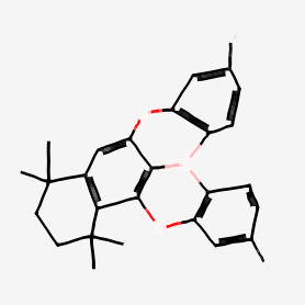 CCCCc1ccc2c(c1)Oc1cc3c(c4c1B2c1ccc(C(C)(C)C)cc1O4)C(C)(C)CCC3(C)C